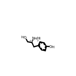 I.N[C@H](CO)Cc1ccc(O)cc1